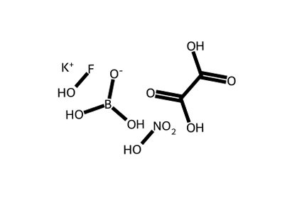 O=C(O)C(=O)O.O=[N+]([O-])O.OF.[K+].[O-]B(O)O